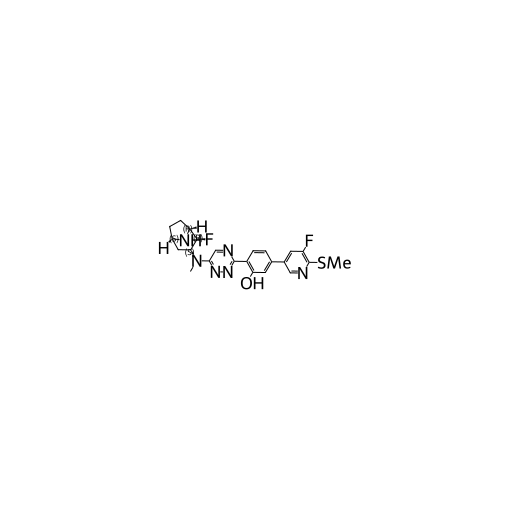 CSc1ncc(-c2ccc(-c3ncc(N(C)[C@H]4C[C@@H]5CC[C@@H](N5)[C@H]4F)nn3)c(O)c2)cc1F